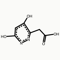 O=C(O)Cc1nnc(O)cc1O